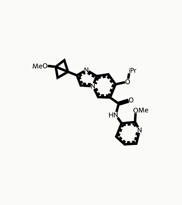 COc1ncccc1NC(=O)c1cn2cc(C34CC3(OC)C4)nc2cc1OC(C)C